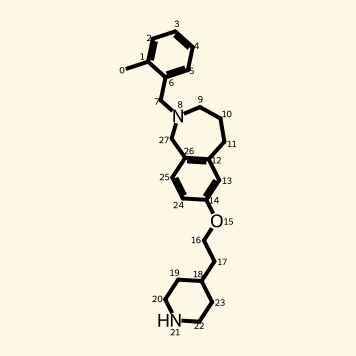 Cc1ccccc1CN1CCCc2cc(OCCC3CCNCC3)ccc2C1